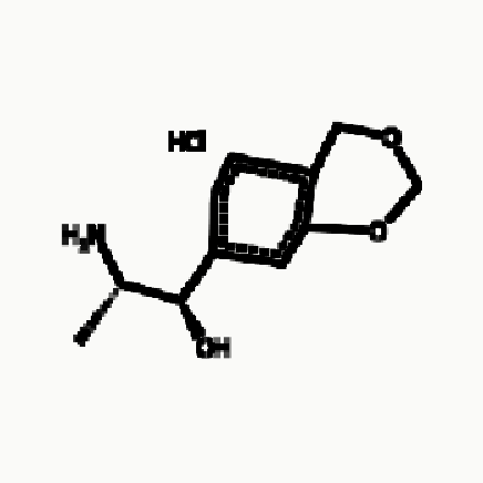 C[C@H](N)[C@H](O)c1ccc2c(c1)OCOC2.Cl